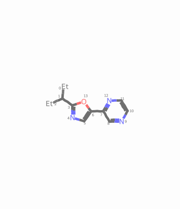 CCC(CC)c1ncc(-c2cnccn2)o1